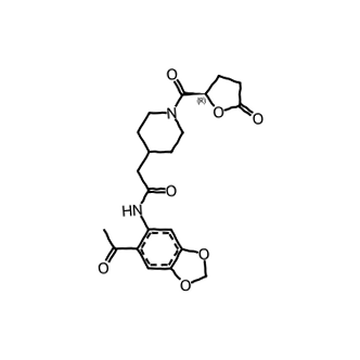 CC(=O)c1cc2c(cc1NC(=O)CC1CCN(C(=O)[C@H]3CCC(=O)O3)CC1)OCO2